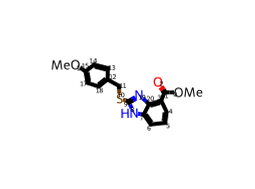 COC(=O)c1cccc2[nH]c(SCc3ccc(OC)cc3)nc12